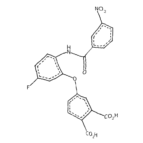 O=C(Nc1ccc(F)cc1Oc1ccc(C(=O)O)c(C(=O)O)c1)c1cccc([N+](=O)[O-])c1